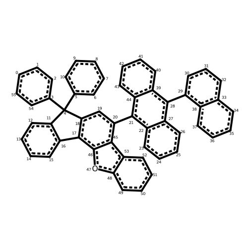 c1ccc(C2(c3ccccc3)c3ccccc3-c3c2cc(-c2c4ccccc4c(-c4cccc5ccccc45)c4ccccc24)c2c3oc3ccccc32)cc1